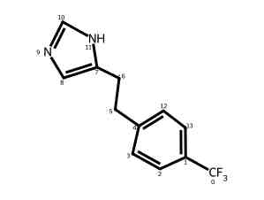 FC(F)(F)c1ccc(C[CH]c2cnc[nH]2)cc1